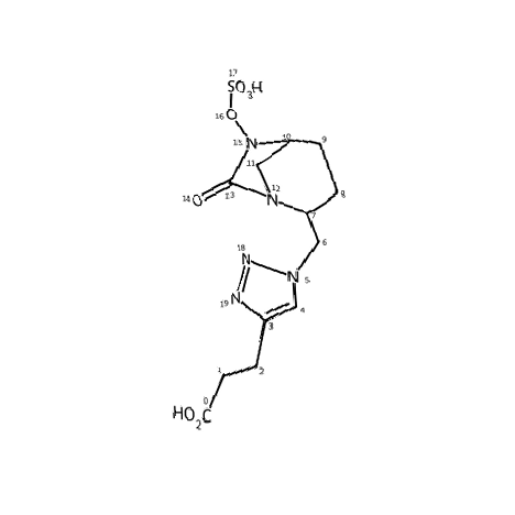 O=C(O)CCc1cn(CC2CCC3CN2C(=O)N3OS(=O)(=O)O)nn1